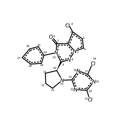 O=c1c2c(Cl)ccn2nc([C@@H]2CCCN2c2nc(Cl)nc(Cl)n2)n1-c1ccccc1